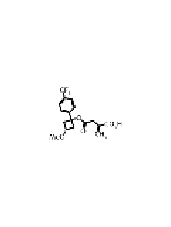 C=C(CC(=O)O[C@]1(c2ccc(C(F)(F)F)cc2)C[C@H](OC)C1)C(=O)O